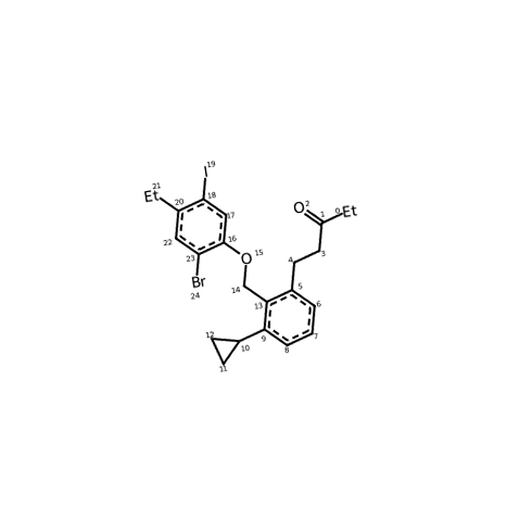 CCC(=O)CCc1cccc(C2CC2)c1COc1cc(I)c(CC)cc1Br